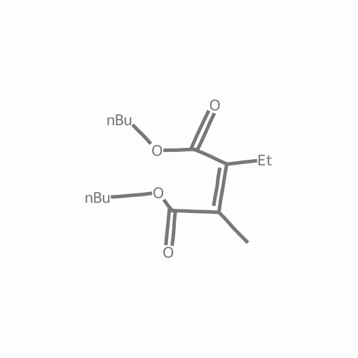 CCCCOC(=O)C(C)=C(CC)C(=O)OCCCC